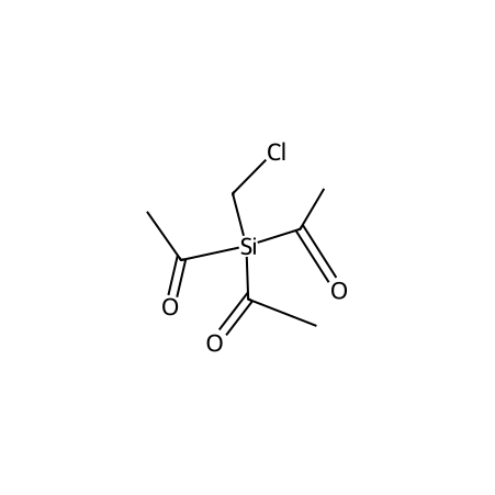 CC(=O)[Si](CCl)(C(C)=O)C(C)=O